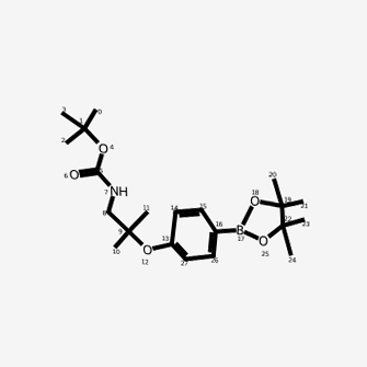 CC(C)(C)OC(=O)NCC(C)(C)Oc1ccc(B2OC(C)(C)C(C)(C)O2)cc1